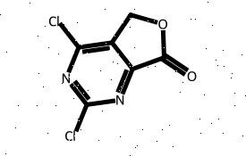 O=C1OCc2c(Cl)nc(Cl)nc21